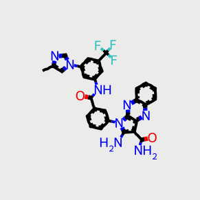 Cc1cn(-c2cc(NC(=O)c3cccc(-n4c(N)c(C(N)=O)c5nc6ccccc6nc54)c3)cc(C(F)(F)F)c2)cn1